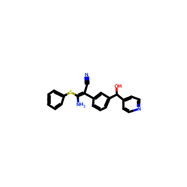 N#C/C(=C(/N)Sc1ccccc1)c1cccc(C(O)c2ccncc2)c1